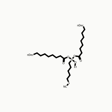 CCCCCCCCCCCCCCCCCC(=O)O[Si](CCCCCSC#N)(OCC)OC(=O)CCCCCCCCCCCCCCCCC